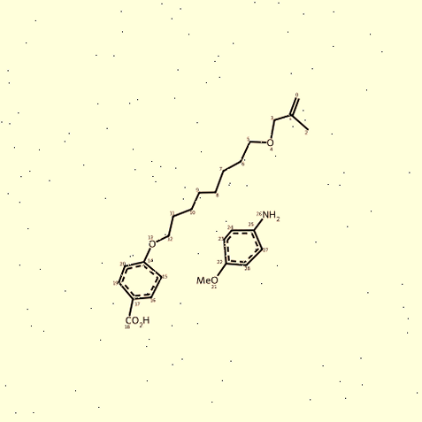 C=C(C)COCCCCCCCCOc1ccc(C(=O)O)cc1.COc1ccc(N)cc1